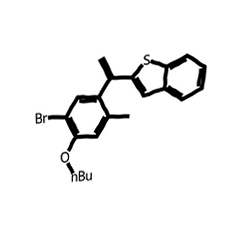 C=C(c1cc2ccccc2s1)c1cc(Br)c(OCCCC)cc1C